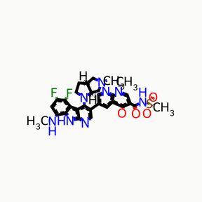 CNc1cc(F)c(F)c2c1[nH]c1ncc(-c3cnc4c(c3)c(=O)c(C(=O)NS(C)(=O)=O)cn4C)c(N3CC[C@@H]4CN(C)C[C@@H]43)c12